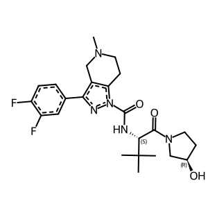 CN1CCc2c(c(-c3ccc(F)c(F)c3)nn2C(=O)N[C@H](C(=O)N2CC[C@@H](O)C2)C(C)(C)C)C1